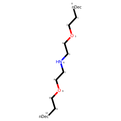 CCCCCCCCCCCCOCCNCCOCCCCCCCCCCCC